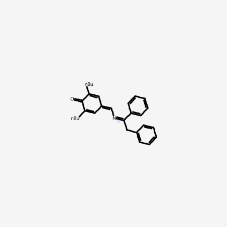 CCCCC1=CC(=C/N=C(/Cc2ccccc2)c2ccccc2)C=C(CCCC)C1=O